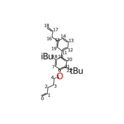 C=CCCCOc1cc(C(C)CC)c(-c2cccc(CC=C)c2)cc1C(C)(C)C